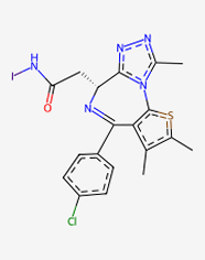 Cc1sc2c(c1C)C(c1ccc(Cl)cc1)=N[C@H](CC(=O)NI)c1nnc(C)n1-2